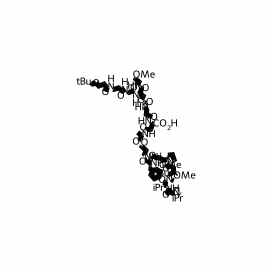 CC[C@H](C)[C@@H]([C@@H](CC(=O)N1CCC[C@H]1[C@H](OC)[C@@H](C)C(=O)N[C@@H](Cc1ccccc1)C(=O)NCCCOC(=O)C(C)NC(=O)CC(NC(=O)CCNC(=O)OCC(NC(=O)CNC(=O)CCNC(=O)CCOCC(C)(C)C)C(=O)NCCOC)C(=O)O)OC)N(C)C(=O)C(NC(=O)[C@H](C(C)C)N(C)C)C(C)C